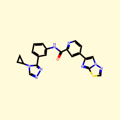 O=C(Nc1cccc(-c2nncn2C2CC2)c1)c1cc(-c2cn3ncsc3n2)ccn1